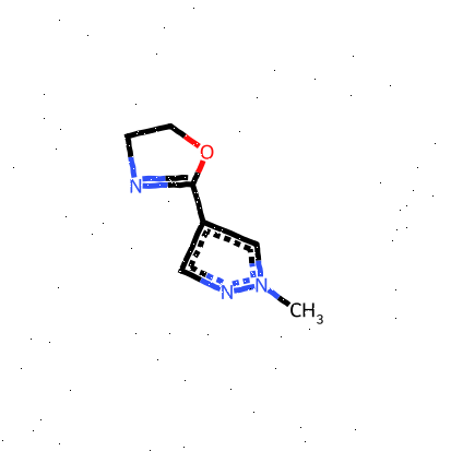 Cn1cc(C2=NCCO2)cn1